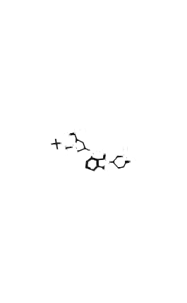 CC(C)(C)OC(=O)N1CC(Nc2cccc3c2C(=O)N(C2CCC(=O)NC2=O)C3=O)CC1C(=O)O